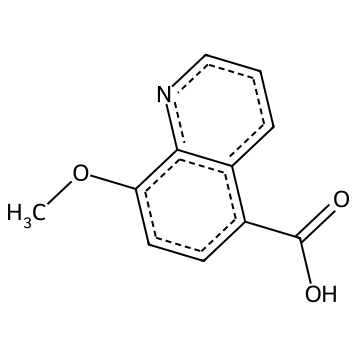 COc1ccc(C(=O)O)c2cccnc12